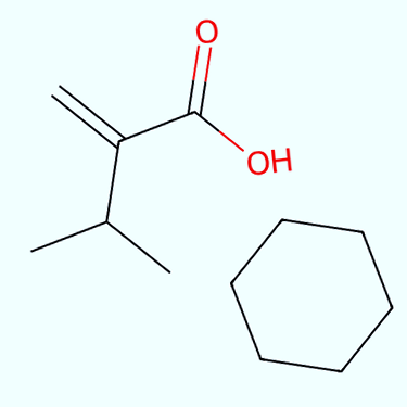 C1CCCCC1.C=C(C(=O)O)C(C)C